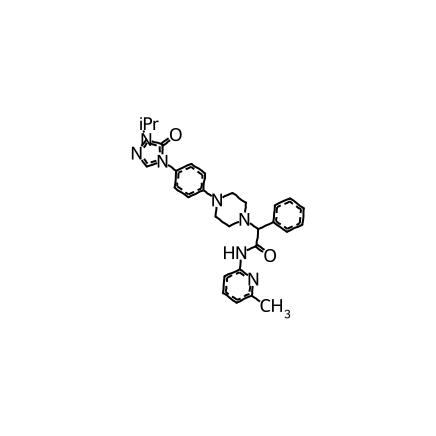 Cc1cccc(NC(=O)C(c2ccccc2)N2CCN(c3ccc(-n4cnn(C(C)C)c4=O)cc3)CC2)n1